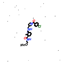 COCCNC(=O)C1=C(C)/C(=C/NCC2CCN(C(=O)c3ccc(Cl)cc3)C2)CC=C1